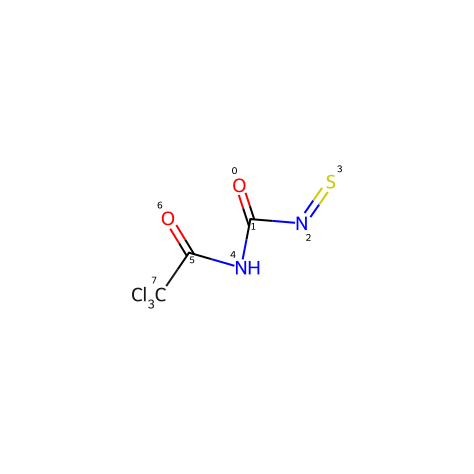 O=C(N=S)NC(=O)C(Cl)(Cl)Cl